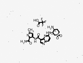 Cn1cc(NC(=O)c2cnn3ccc(N[C@@H]4CS(=O)(=O)CC[C@@H]4N)nc23)c(C(N)=O)n1.O=C(O)C(F)(F)F